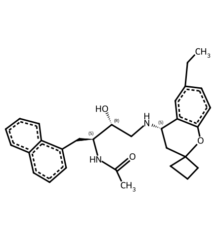 CCc1ccc2c(c1)[C@@H](NC[C@@H](O)[C@H](Cc1cccc3ccccc13)NC(C)=O)CC1(CCC1)O2